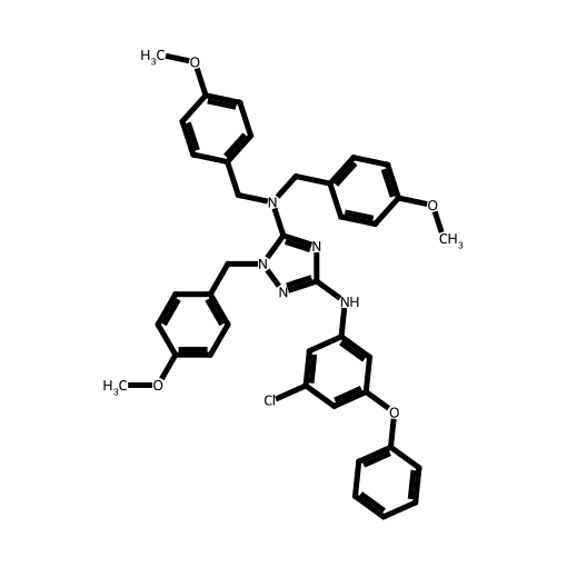 COc1ccc(CN(Cc2ccc(OC)cc2)c2nc(Nc3cc(Cl)cc(Oc4ccccc4)c3)nn2Cc2ccc(OC)cc2)cc1